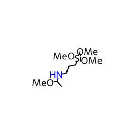 COC(C)NCCC[Si](OC)(OC)OC